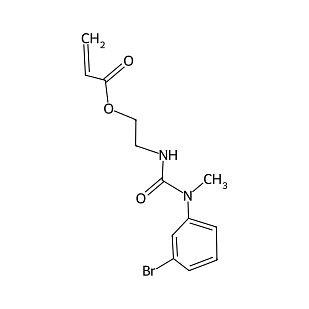 C=CC(=O)OCCNC(=O)N(C)c1cccc(Br)c1